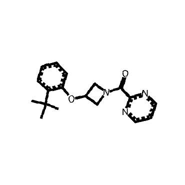 CC(C)(C)c1ccccc1OC1CN(C(=O)c2ncccn2)C1